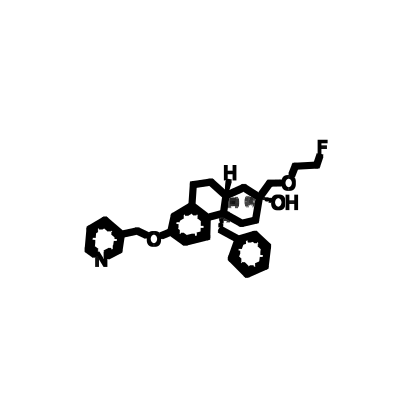 O[C@]1(COCCF)CC[C@@]2(Cc3ccccc3)c3ccc(OCc4cccnc4)cc3CC[C@@H]2C1